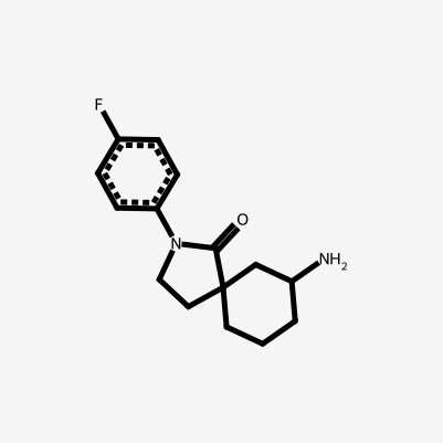 NC1CCCC2(CCN(c3ccc(F)cc3)C2=O)C1